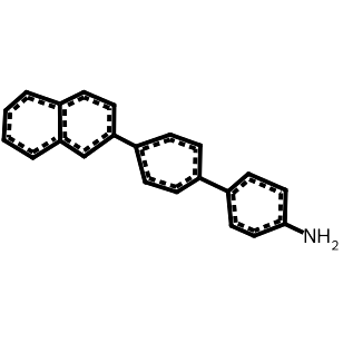 Nc1ccc(-c2ccc(-c3ccc4ccccc4c3)cc2)cc1